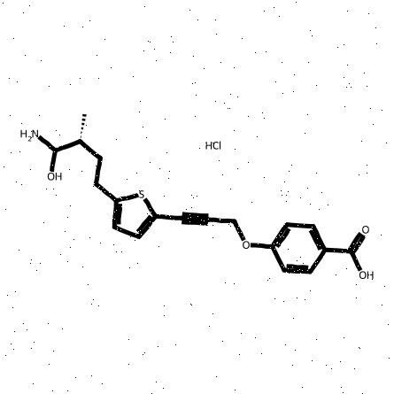 C[C@H](CCc1ccc(C#CCOc2ccc(C(=O)O)cc2)s1)C(N)O.Cl